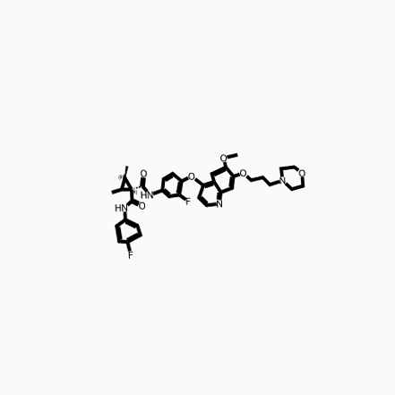 COc1cc2c(Oc3ccc(NC(=O)[C@]4(C(=O)Nc5ccc(F)cc5)C(C)[C@H]4C)cc3F)ccnc2cc1OCCCN1CCOCC1